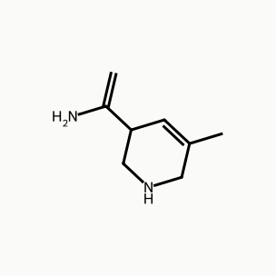 C=C(N)C1C=C(C)CNC1